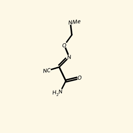 CNCO/N=C(\C#N)C(N)=O